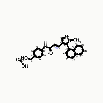 Cn1ncc(/C=C/C(=O)Nc2ccc(CO[PH](=O)O)cc2)c1-c1cccc2ccccc12